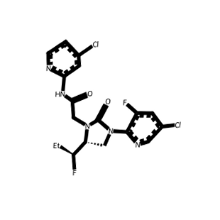 CC[C@H](F)[C@H]1CN(c2ncc(Cl)cc2F)C(=O)N1CC(=O)Nc1cc(Cl)ccn1